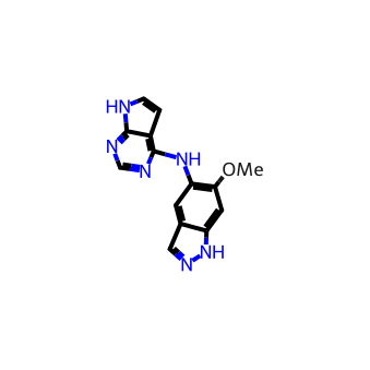 COc1cc2[nH]ncc2cc1Nc1ncnc2[nH]ccc12